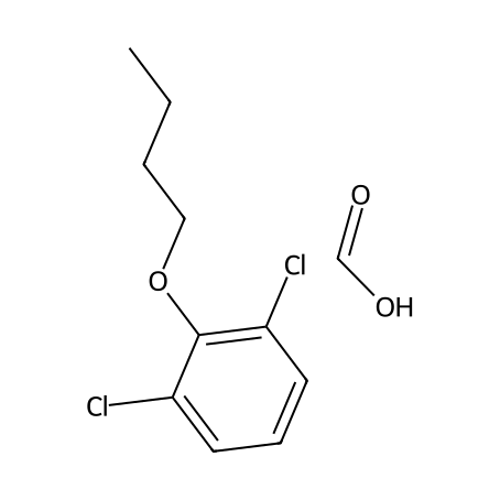 CCCCOc1c(Cl)cccc1Cl.O=CO